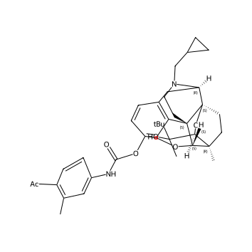 CC(=O)c1ccc(NC(=O)Oc2ccc3c4c2O[C@H]2[C@]5(C)CC[C@@]6(C[C@@H]5C(C)(O)C(C)(C)C)[C@@H](C3)N(CC3CC3)CC[C@]426)cc1C